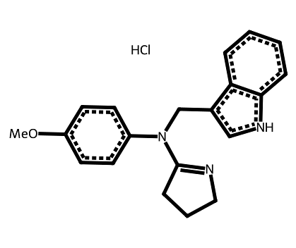 COc1ccc(N(Cc2c[nH]c3ccccc23)C2=NCCC2)cc1.Cl